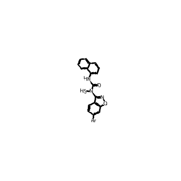 O=C(Nc1cccc2ccccc12)N(S)c1noc2cc(Br)ccc12